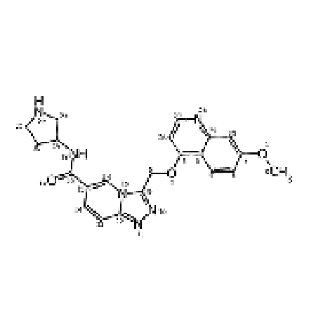 COc1ccc2c(OCc3nnc4ccc(C(=O)NC5CCNC5)cn34)ccnc2c1